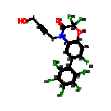 O=C1N(CC#CCO)c2cc(-c3c(F)c(F)c(F)c(F)c3F)c(F)cc2OC1(F)F